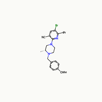 COc1ccc(CN2CCN(c3nc(C(C)C)c(Br)cc3C#N)C[C@H]2C)cc1